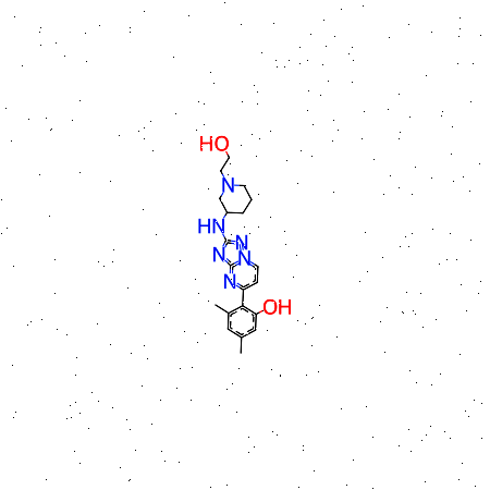 Cc1cc(C)c(-c2ccn3nc(NC4CCCN(CCO)C4)nc3n2)c(O)c1